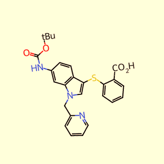 CC(C)(C)OC(=O)Nc1ccc2c(Sc3ccccc3C(=O)O)cn(Cc3ccccn3)c2c1